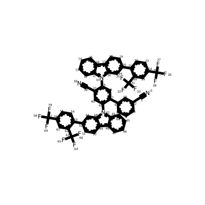 N#Cc1cccc(-c2cc(-n3c4ccccc4c4ccc(-c5ccc(C(F)(F)F)cc5C(F)(F)F)cc43)c(C#N)cc2-n2c3ccccc3c3ccc(-c4ccc(C(F)(F)F)cc4C(F)(F)F)cc32)c1